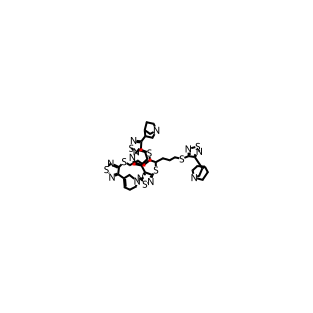 CN1CCC=C(c2nsnc2SCCCC(Sc2nsnc2C2CN3CCC2C3)C(CCCSc2nsnc2C2CN3CCC2CC3)Sc2nsnc2C2CN3CCC2CC3)C1